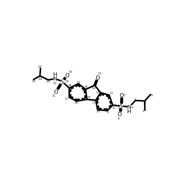 CC(C)CNS(=O)(=O)c1ccc2c(c1)C(=O)c1cc(S(=O)(=O)NCC(C)C)ccc1-2